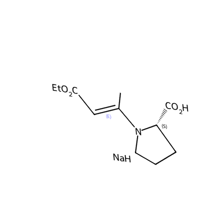 CCOC(=O)/C=C(\C)N1CCC[C@H]1C(=O)O.[NaH]